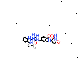 Cc1nc(NC(=O)NCc2ccc3c(c2)CN(C2CCC(=O)NC2=O)C3=O)nc2ccccc12